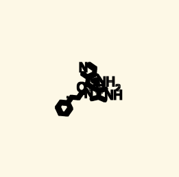 NC(=O)[C@@]1(C(=O)c2cccnc2)[C@@H]2CNCC2CN1CC[CH]c1ccccc1